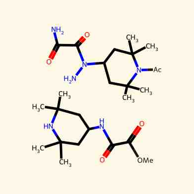 CC(=O)N1C(C)(C)CC(N(N)C(=O)C(N)=O)CC1(C)C.COC(=O)C(=O)NC1CC(C)(C)NC(C)(C)C1